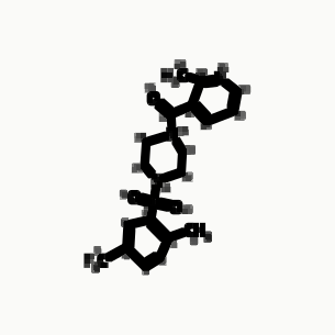 Cc1ccc(C(F)(F)F)cc1S(=O)(=O)N1CCN(C(=O)c2cccnc2C)CC1